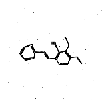 CCc1ccc(C=Cc2ccccc2)c(O)c1CC